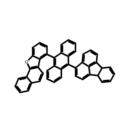 C1=CC2c3cccc4c(-c5c6ccccc6c(-c6cccc7oc8c9ccccc9ccc8c67)c6ccccc56)ccc(c34)C2C=C1